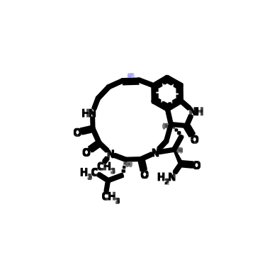 CC(C)C[C@H]1C(=O)N2C[C@]3(C[C@H]2C(N)=O)C(=O)Nc2ccc(cc23)/C=C\CCNC(=O)C(=O)N1C